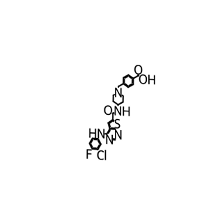 O=C(O)c1ccc(CN2CCC(NC(=O)c3cc4c(Nc5ccc(F)c(Cl)c5)ncnc4s3)CC2)cc1